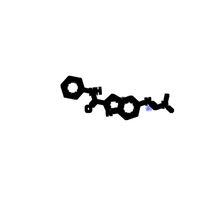 CN(C)/C=N/c1ccc2nc(C(=O)Nc3ccccc3)cn2c1